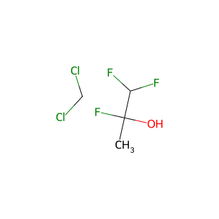 CC(O)(F)C(F)F.ClCCl